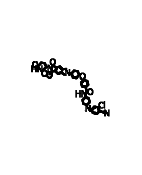 CN(c1ccc(C#N)c(Cl)c1)[C@H]1CC[C@H](NC(=O)c2ccc(O[C@H]3CC[C@H](N4Cc5cc6c(cc5C4)C(=O)N(C4CCC(=O)NC4=O)C6=O)CC3)cc2)CC1